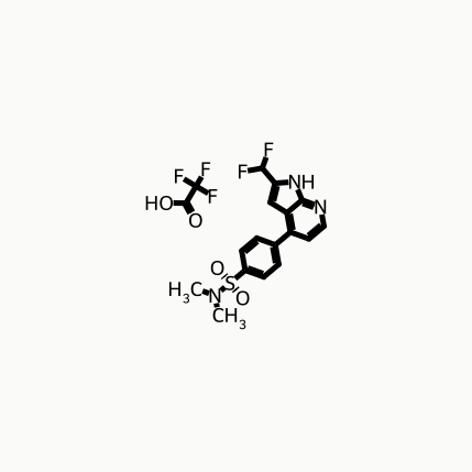 CN(C)S(=O)(=O)c1ccc(-c2ccnc3[nH]c(C(F)F)cc23)cc1.O=C(O)C(F)(F)F